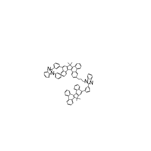 CC1(C)c2cc(-c3cccc(-c4nc5ccccc5n4CCCc4ccc5c6c(c7ccccc7c5c4)C(C)(C)c4cc(-c5cccc(-c7nc8ccccc8n7-c7ccccc7)c5)c5ccccc5c4-6)c3)c3ccccc3c2-c2c1c1ccccc1c1ccccc21